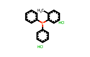 Cc1ccccc1P(c1ccccc1)c1ccccc1.Cl.Cl